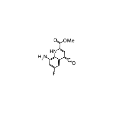 COC(=O)C1=CC(=C=O)c2cc(F)cc(N)c2N1